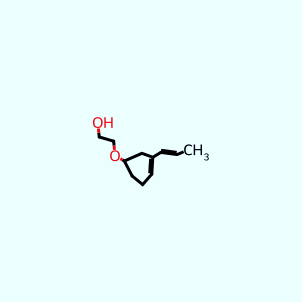 C/C=C/C1=CCCC(OCCO)C1